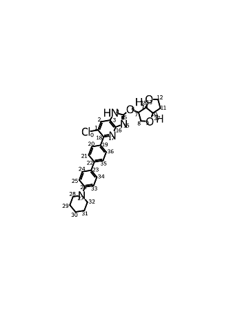 Clc1cc2[nH]c(OC3CO[C@@H]4CCO[C@H]34)nc2nc1-c1ccc(-c2ccc(N3CCCCC3)cc2)cc1